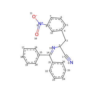 N#CC(Cc1cccc([N+](=O)[O-])c1)N=C(c1ccccc1)c1ccccc1